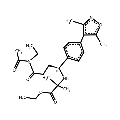 CCOC(=O)C(C)(C)N[C@@H](CCC(=O)N(CC)C(C)=O)c1ccc(-c2c(C)noc2C)cc1